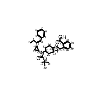 CCC(=Cc1ccccc1)[C@@H]1C[C@H]1N(C(=O)OC(C)(C)C)C1CCC(NCc2ccccc2C(=O)O)CC1